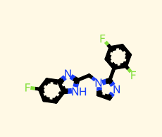 Fc1ccc(F)c(-c2nccn2Cc2nc3cc(F)ccc3[nH]2)c1